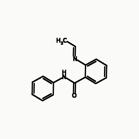 C/C=N/c1ccccc1C(=O)Nc1ccccc1